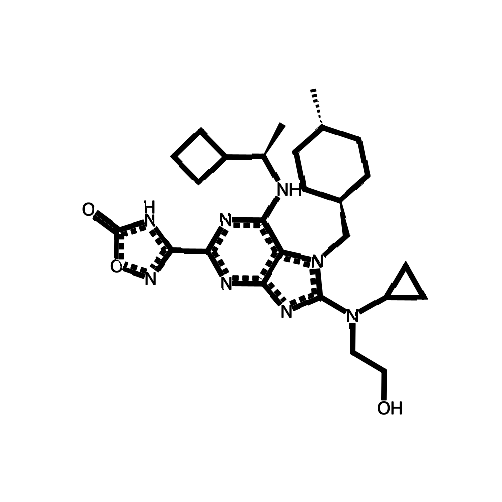 C[C@@H](Nc1nc(-c2noc(=O)[nH]2)nc2nc(N(CCO)C3CC3)n(C[C@H]3CC[C@H](C)CC3)c12)C1CCC1